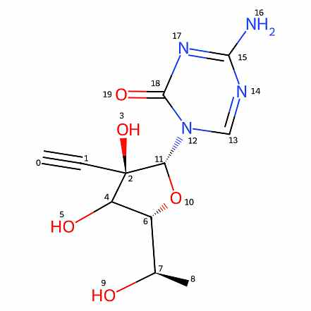 C#C[C@@]1(O)C(O)[C@@H]([C@@H](C)O)O[C@H]1n1cnc(N)nc1=O